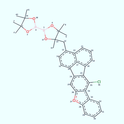 CC1(C)OB(B2OC(C)(C)C(C)(Cc3ccc4c5c(cccc35)-c3c-4cc4oc5ccccc5c4c3Cl)O2)OC1(C)C